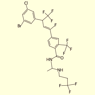 CC(NCCC(F)(F)F)NC(=O)c1ccc(/C(F)=C/C(c2cc(Cl)cc(Br)c2)C(F)(F)F)cc1C(F)(F)F